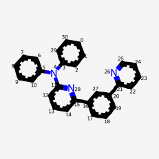 c1ccc(N(c2ccccc2)c2cccc(-c3cccc(-c4ccccn4)c3)n2)cc1